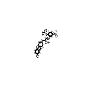 CC(=O)Nc1ccc(C(=O)O)cc1OC[C@H](O)CN1CCC2(CC1)Cc1cc(Cl)ccc1O2